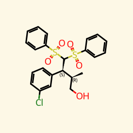 C[C@@H](CO)[C@@H](c1cccc(Cl)c1)C(S(=O)(=O)c1ccccc1)S(=O)(=O)c1ccccc1